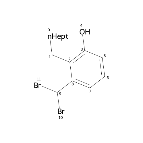 CCCCCCCCc1c(O)cccc1C(Br)Br